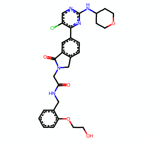 O=C(CN1Cc2ccc(-c3nc(NC4CCOCC4)ncc3Cl)cc2C1=O)NCc1ccccc1OCCO